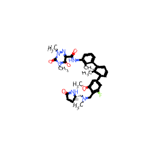 COc1cc(-c2cccc(-c3cccc(NC(=O)c4nn(C)c(=O)n(C)c4=O)c3C)c2C)cc(F)c1CN(C)C[C@@H]1CCC(=O)N1